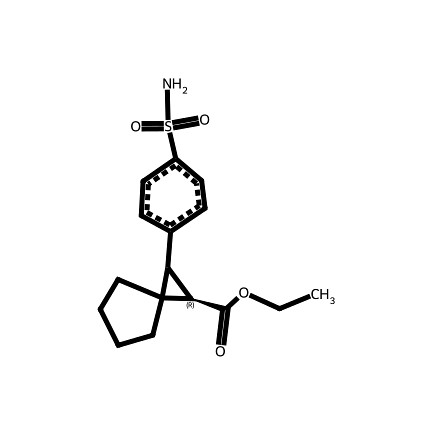 CCOC(=O)[C@@H]1C(c2ccc(S(N)(=O)=O)cc2)C12CCCC2